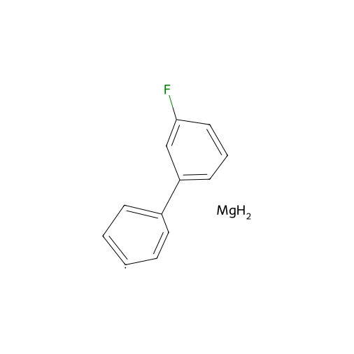 Fc1cccc(-c2cc[c]cc2)c1.[MgH2]